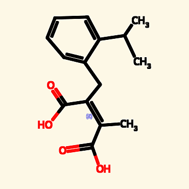 C/C(C(=O)O)=C(\Cc1ccccc1C(C)C)C(=O)O